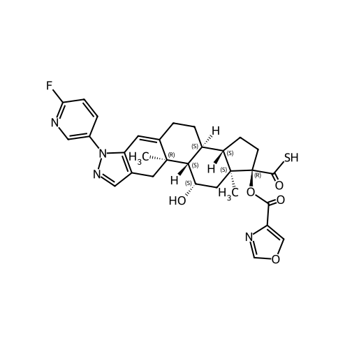 C[C@]12Cc3cnn(-c4ccc(F)nc4)c3C=C1CC[C@@H]1[C@@H]2[C@@H](O)C[C@@]2(C)[C@H]1CC[C@]2(OC(=O)c1cocn1)C(=O)S